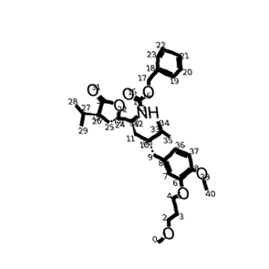 COCCCOc1cc(C[C@H](C[C@H](NC(=O)OCc2ccccc2)[C@@H]2C[C@@H](C(C)C)C(=O)O2)C(C)C)ccc1OC